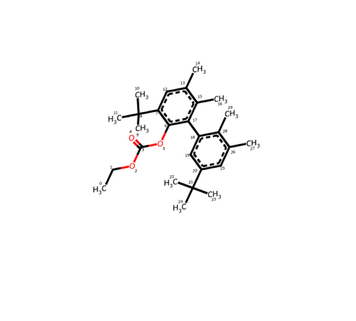 CCOC(=O)Oc1c(C(C)(C)C)cc(C)c(C)c1-c1[c]c(C(C)(C)C)cc(C)c1C